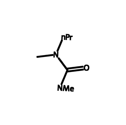 CCCN(C)C(=O)NC